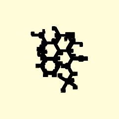 COC(=O)C1=C(C)NC(C)=C(C(=O)OC[Si](C)(C)C)C1c1ccccc1Cl